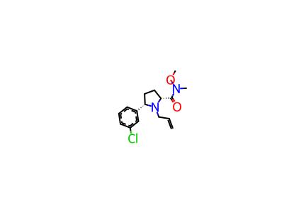 C=CCN1[C@@H](C(=O)N(C)OC)CC[C@H]1c1cccc(Cl)c1